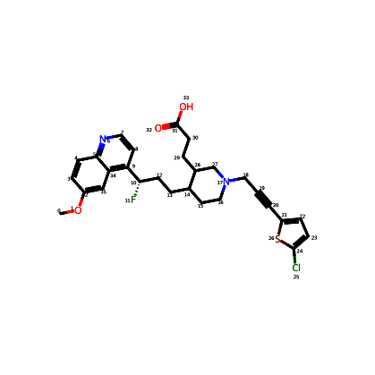 COc1ccc2nccc([C@@H](F)CCC3CCN(CC#Cc4ccc(Cl)s4)CC3CCC(=O)O)c2c1